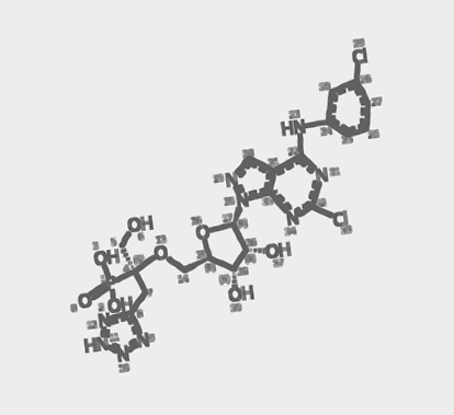 O=P(O)(O)[C@](CO)(Cc1nn[nH]n1)OC[C@H]1O[C@@H](n2ncc3c(Nc4cccc(Cl)c4)nc(Cl)nc32)[C@H](O)[C@@H]1O